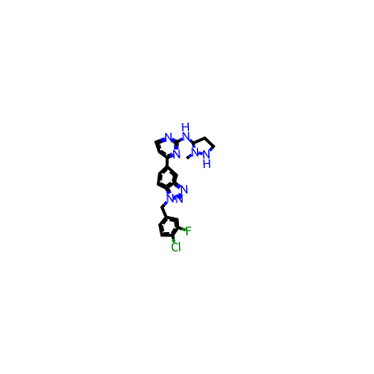 CN1NCCC1Nc1nccc(-c2ccc3c(c2)nnn3Cc2ccc(Cl)c(F)c2)n1